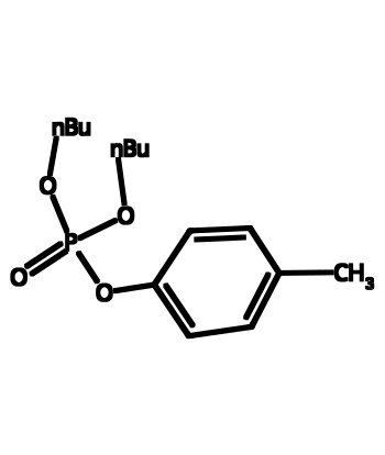 CCCCOP(=O)(OCCCC)Oc1ccc(C)cc1